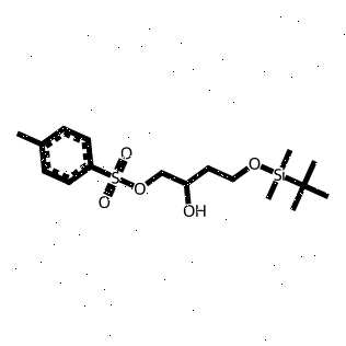 Cc1ccc(S(=O)(=O)OCC(O)CCO[Si](C)(C)C(C)(C)C)cc1